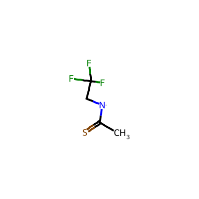 CC(=S)[N]CC(F)(F)F